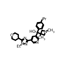 CCn1nc(-c2cncc([C@@](O)(c3ccc(C(C)C)cc3)C3(C)CN(C)C3)c2)nc1C1CCOCC1